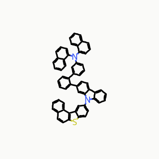 c1cc(-c2ccccc2-c2ccc3c4ccccc4n(-c4ccc5sc6ccc7ccccc7c6c5c4)c3c2)cc(N(c2cccc3ccccc23)c2cccc3ccccc23)c1